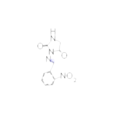 O=C1CNC(=O)N1/N=C/c1ccccc1[N+](=O)[O-]